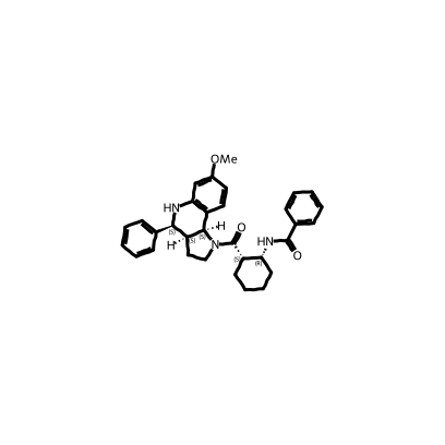 COc1ccc2c(c1)N[C@H](c1ccccc1)[C@@H]1CCN(C(=O)[C@H]3CCCC[C@H]3NC(=O)c3ccccc3)[C@H]21